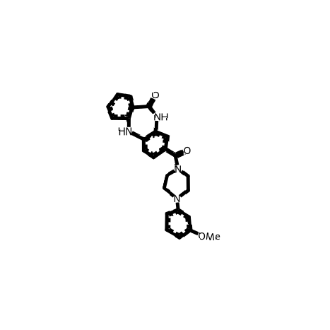 COc1cccc(N2CCN(C(=O)c3ccc4c(c3)NC(=O)c3ccccc3N4)CC2)c1